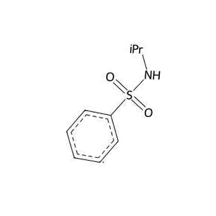 CC(C)NS(=O)(=O)c1c[c]ccc1